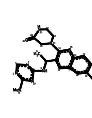 CNc1ncnc(NC(C)c2cc3cc(Cl)ccc3nc2N2CCNC(=O)C2)n1